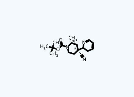 C[C@@H]1C[C@@](C#N)(C2CC=CC=N2)CCN1C(=O)OC(C)(C)C